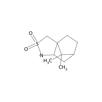 CC1(C)C2CCC13CS(=O)(=O)[N]C3C2